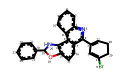 BrC1=CC(c2nc3ccccc3c3c4c(ccc23)OC(c2ccccc2)N4)=CCC1